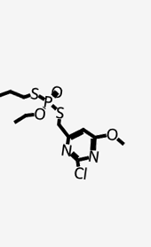 CCCSP(=O)(OCC)SCc1cc(OC)nc(Cl)n1